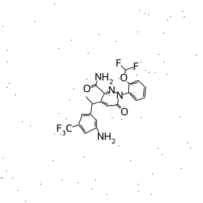 CC(c1cc(N)cc(C(F)(F)F)c1)c1cc(=O)n(-c2ccccc2OC(F)F)nc1C(N)=O